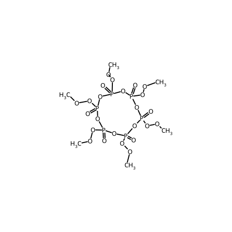 COOP1(=O)OP(=O)(OOC)OP(=O)(OOC)OP(=O)(OOC)OP(=O)(OOC)OP(=O)(OOC)O1